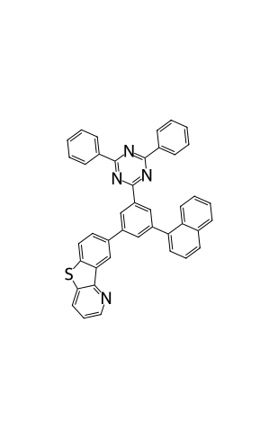 c1ccc(-c2nc(-c3ccccc3)nc(-c3cc(-c4ccc5sc6cccnc6c5c4)cc(-c4cccc5ccccc45)c3)n2)cc1